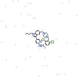 CCCCn1cc(-c2ccc(N)nc2)c2cc(CN3CCN(Cc4c(Cl)cccc4Cl)CC3)ccc21